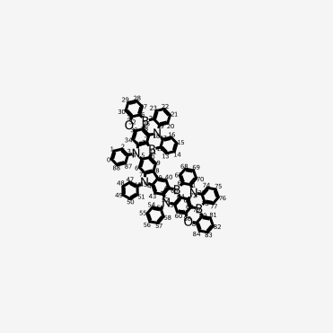 c1ccc(N2c3cc4c(cc3B3c5ccccc5N5c6ccccc6B6c7ccccc7Oc7cc2c3c5c76)c2cc3c(cc2n4-c2ccccc2)N(c2ccccc2)c2cc4c5c6c2B3c2ccccc2N6c2ccccc2B5c2ccccc2O4)cc1